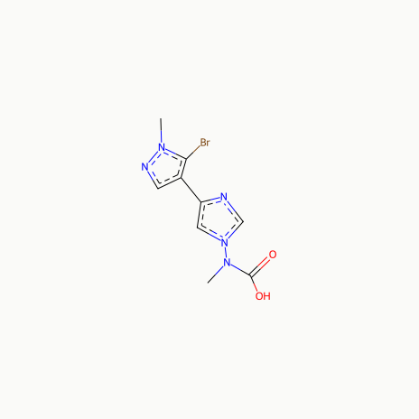 CN(C(=O)O)n1cnc(-c2cnn(C)c2Br)c1